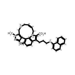 Cc1nn(C)c2c1-c1c(Cl)ccc3c(CCCOc4cccc5ccccc45)c(C(=O)O)n(c13)C/C=C\COC2